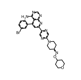 Nc1ncnc2nc(-c3cnc(N4CCC(=NOC5CCOCC5)CC4)cn3)cc(-c3cccc(Br)c3)c12